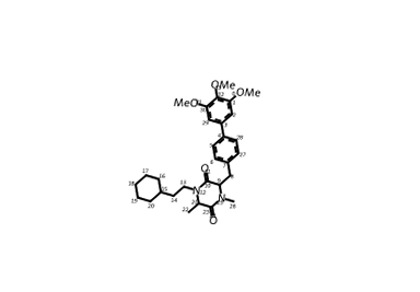 COc1cc(-c2ccc(CC3C(=O)N(CCC4CCCCC4)C(C)C(=O)N3C)cc2)cc(OC)c1OC